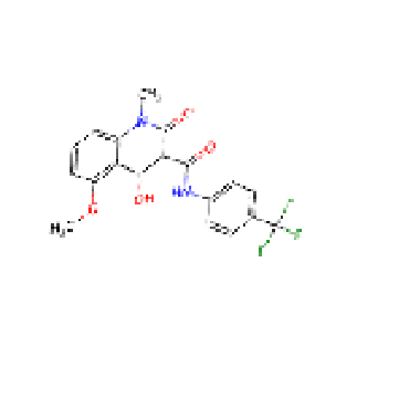 COc1cccc2c1C(O)C(C(=O)Nc1ccc(C(F)(F)F)cc1)C(=O)N2C